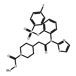 CC(C)(C)OC(=O)N1CCC(CC(=O)N(c2nccs2)c2ccccc2OS(=O)(=O)c2ccc(F)cc2)CC1